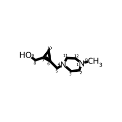 CN1CCN(CC2=C(CO)C2)CC1